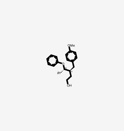 COc1ccc(C[C@@H](CCO)[C@@H](Oc2ccccc2)C(C)C)cc1